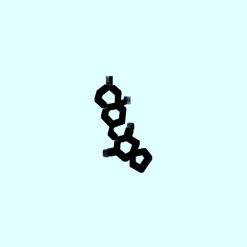 O=C1CC2(CCCC2)CC(=O)N1C[C@@H]1CC[C@H]2CNCCN2C1